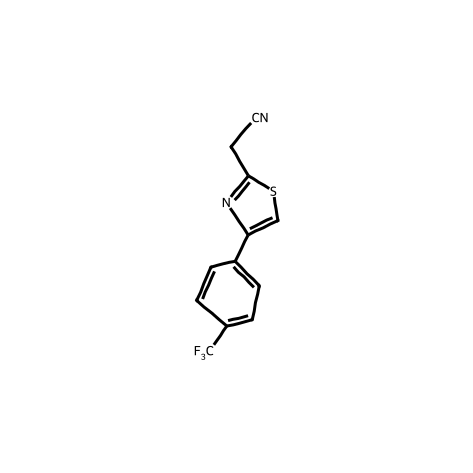 N#CCc1nc(-c2ccc(C(F)(F)F)cc2)cs1